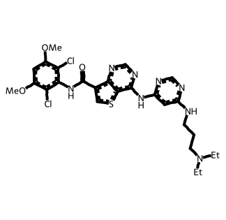 CCN(CC)CCCNc1cc(Nc2ncnc3c(C(=O)Nc4c(Cl)c(OC)cc(OC)c4Cl)csc23)ncn1